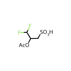 CC(=O)OC(CS(=O)(=O)O)C(F)F